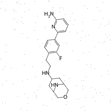 Nc1cccc(-c2ccc(CCNC3CC4COCC(C3)N4)c(F)c2)n1